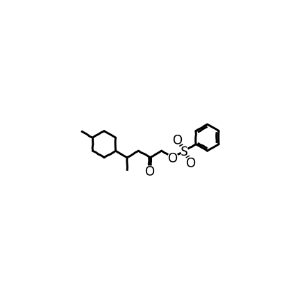 CC1CCC(C(C)CC(=O)COS(=O)(=O)c2ccccc2)CC1